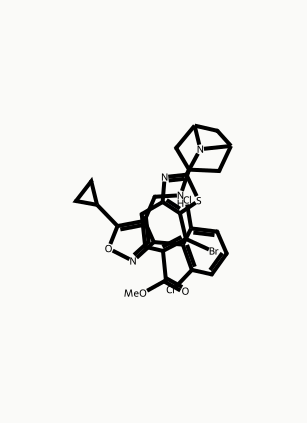 COC(=O)c1ccc2nc(N3C4CC(NCc5c(-c6c(Cl)cccc6Cl)noc5C5CC5)CC3C4)sc2c1Br